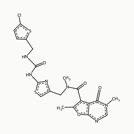 Cc1oc2ncn(C)c(=O)c2c1C(=O)N(C)Cc1csc(NC(=O)NCc2ccc(Cl)s2)n1